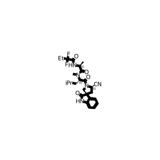 CCC(F)(F)C(=O)N[C@@H](C)C(=O)N(C)[C@@H](CC(C)C)C(=O)N1C[C@]2(C[C@H]1C#N)C(=O)Nc1ccccc12